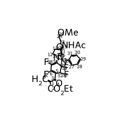 C=C(C(=O)OCC)C(=O)C1=C(F)C(F)=C(N2CCC(NC(C)=O)C2)C(F)(N(OCOCCOC)c2ccccc2)C1F